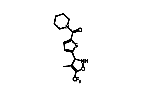 CC1=C(C(F)(F)F)ONC1c1ccc(C(=O)N2CCCCC2)s1